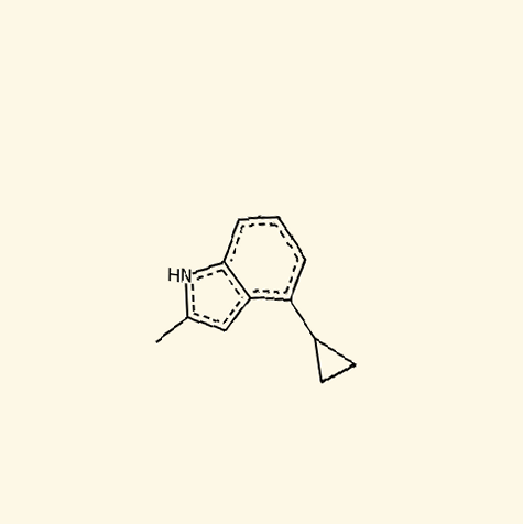 Cc1cc2c(C3CC3)cccc2[nH]1